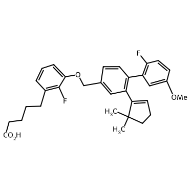 COc1ccc(F)c(-c2ccc(COc3cccc(CCCCC(=O)O)c3F)cc2C2=CCCC2(C)C)c1